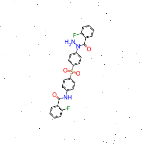 NN(C(=O)c1ccccc1F)c1ccc(S(=O)(=O)c2ccc(NC(=O)c3ccccc3F)cc2)cc1